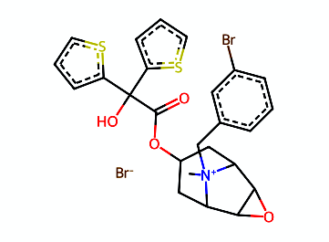 C[N+]1(Cc2cccc(Br)c2)C2CC(OC(=O)C(O)(c3cccs3)c3cccs3)CC1C1OC12.[Br-]